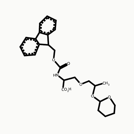 CC(COCC(NC(=O)OCC1c2ccccc2-c2ccccc21)C(=O)O)OC1CCCCO1